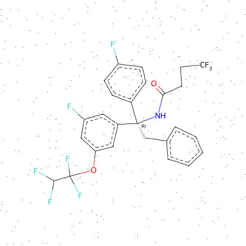 O=C(CCC(F)(F)F)N[C@](Cc1ccccc1)(c1ccc(F)cc1)c1cc(F)cc(OC(F)(F)C(F)F)c1